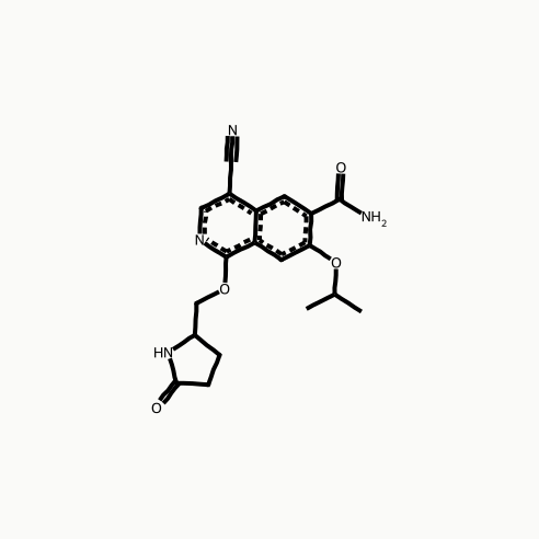 CC(C)Oc1cc2c(OCC3CCC(=O)N3)ncc(C#N)c2cc1C(N)=O